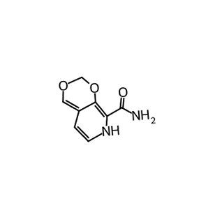 NC(=O)C1=C2OCOC=C2C=CN1